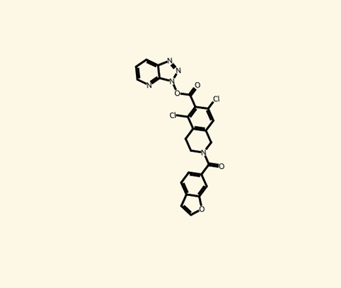 O=C(On1nnc2cccnc21)c1c(Cl)cc2c(c1Cl)CCN(C(=O)c1ccc3ccoc3c1)C2